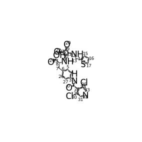 O=C(Nc1ccc(C[C@H](Nc2c(NCc3cccs3)c(=O)c2=O)C(=O)O)cc1)c1c(Cl)cncc1Cl